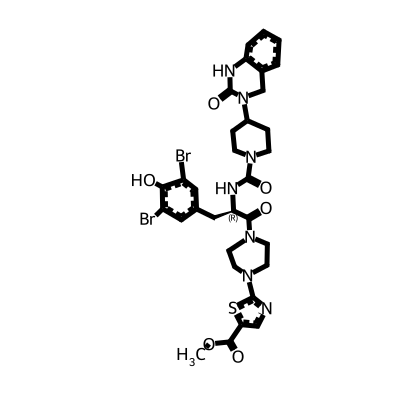 COC(=O)c1cnc(N2CCN(C(=O)[C@@H](Cc3cc(Br)c(O)c(Br)c3)NC(=O)N3CCC(N4Cc5ccccc5NC4=O)CC3)CC2)s1